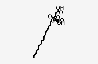 CCCCCCCCCCCCCCCCOC(=O)C(CC(=O)O)OS(=O)(=O)O